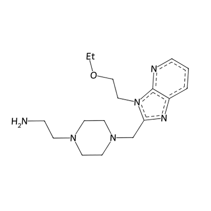 CCOCCn1c(CN2CCN(CCN)CC2)nc2cccnc21